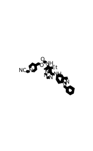 CCc1c(NC(=O)OCC2CCN(CC#N)CC2)cn2ncnc(Nc3ccc4c(cnn4Cc4ccccc4)c3)c12